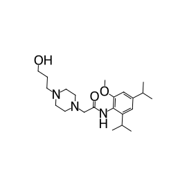 COc1cc(C(C)C)cc(C(C)C)c1NC(=O)CN1CCN(CCCO)CC1